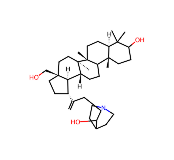 C=C(CC1C(O)C2CCN1CC2)[C@@H]1CC[C@]2(CO)CC[C@]3(C)[C@H](CCC4[C@@]5(C)CCC(O)C(C)(C)[C@@H]5CC[C@]43C)[C@@H]12